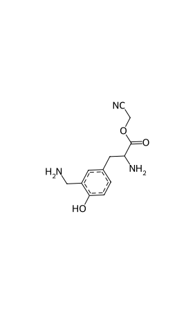 N#CCOC(=O)C(N)Cc1ccc(O)c(CN)c1